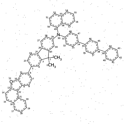 CC1(C)c2cc(-c3ccc4c(c3)oc3ccc5ccccc5c34)ccc2-c2ccc(N(c3ccc(-c4ccc(-c5ccccc5)cc4)cc3)c3cccc4ccccc34)cc21